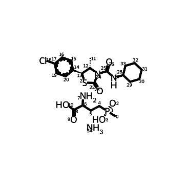 CP(=O)(O)CCC(N)C(=O)O.C[C@H]1[C@H](c2ccc(Cl)cc2)SC(=O)N1C(=O)NC1CCCCC1.N